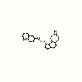 c1cnc2ccc(OCCn3ccc4ccc5c(c43)CCNCC5)cc2c1